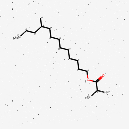 CCCCC(CCC)C(=O)OCCCCCCCCCC(C)CCNC